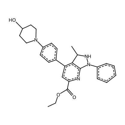 CCOC(=O)c1cc(-c2ccc(N3CCC(O)CC3)cc2)c2c(n1)N(c1ccccc1)NC2C